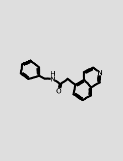 O=C(Cc1cccc2cnccc12)NCc1ccccc1